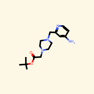 CC(C)(C)OC(=O)CN1CCN(Cc2cc(N)ccn2)CC1